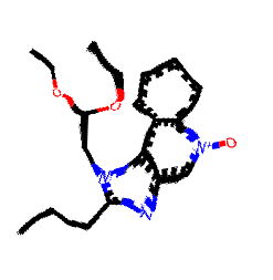 CCCc1nc2c[n+]([O-])c3ccccc3c2n1CC(OCC)OCC